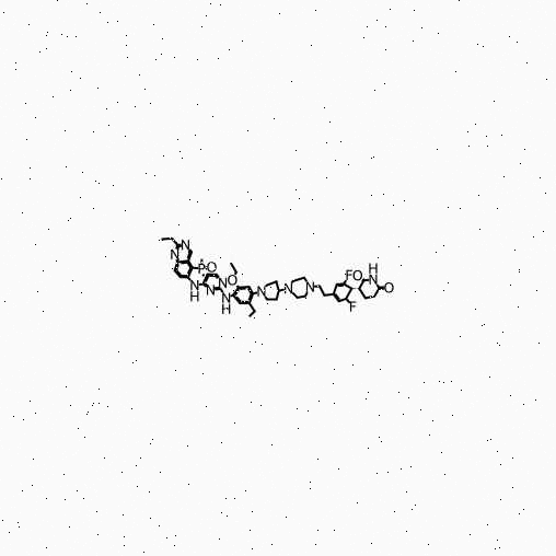 CCOc1cc(N2CCC(N3CCN(CCC4=CC(F)C([C@H]5CCC(=O)NC5=O)C(F)=C4)CC3)CC2)c(CC)cc1Nc1nccc(Nc2ccc3nc(CC)ncc3c2P(C)(C)=O)n1